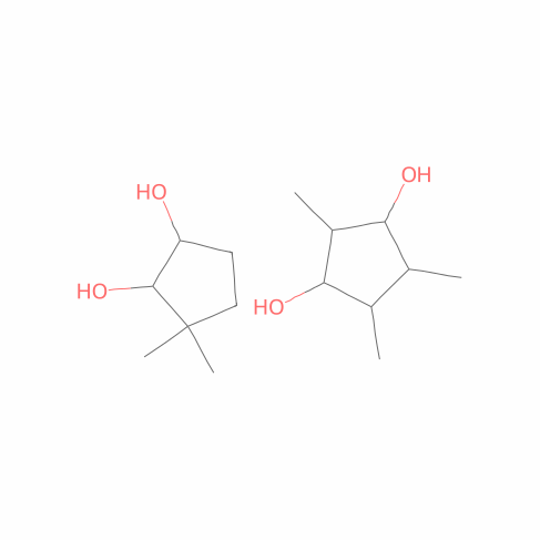 CC1(C)CCC(O)C1O.CC1C(C)C(O)C(C)C1O